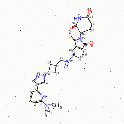 CN(C)c1cccc(-c2cnn(C3CC(CNc4ccc5c(c4)C(=O)N(C4CCC(=O)NC4=O)C5=O)C3)c2)n1